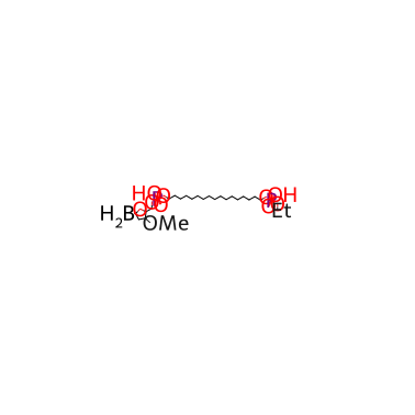 BC1CC(OC)C(COP(=O)(O)OCCCCCCCCCCCCCCCCCOP(=O)(O)OCC)O1